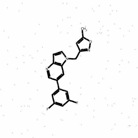 Cc1cc(Cn2ccc3ncc(-c4cc(F)cc(F)c4)cc32)no1